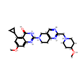 COc1cc(C2CC2)c2c(=O)[nH]c(N3CCc4nc(CN5CCC(OC)CC5)ncc4C3)nc2c1